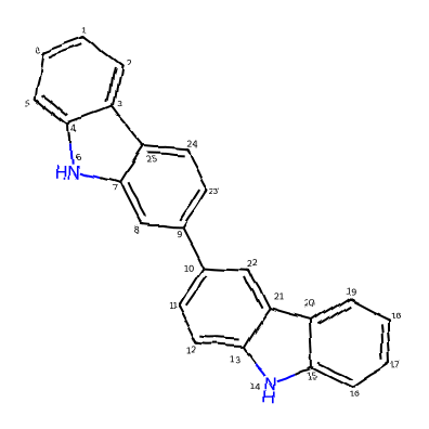 c1ccc2c(c1)[nH]c1cc(-c3ccc4[nH]c5ccccc5c4c3)ccc12